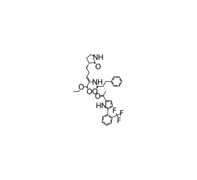 CCOC(=O)/C(=C/CC[C@H]1CCNC1=O)NC(=O)[C@@H](CC(=O)c1ccc(-c2ccccc2C(F)(F)F)[nH]1)Cc1ccccc1